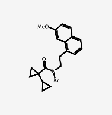 COc1ccc2cccc(CCN(C(C)=O)C(=O)C3(C4CC4)CC3)c2c1